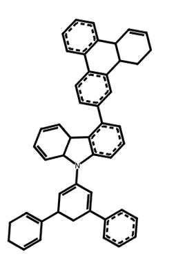 C1=CC2c3c(-c4ccc5c(c4)C4CCC=CC4c4ccccc4-5)cccc3N(C3=CC(C4=CCCC=C4)CC(c4ccccc4)=C3)C2C=C1